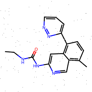 CCNC(=O)Nc1cc2c(-c3cccnn3)ccc(C)c2cn1